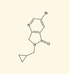 O=C1c2cc(Br)cnc2CN1CC1CC1